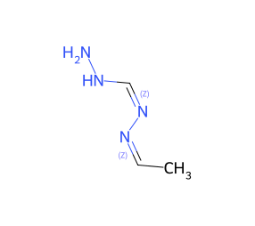 C/C=N\N=C/NN